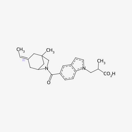 C/C=C1/CC2CC(C)(C1)CN2C(=O)c1ccc2c(ccn2CC(C)C(=O)O)c1